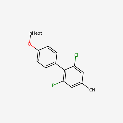 CCCCCCCOc1ccc(-c2c(F)cc(C#N)cc2Cl)cc1